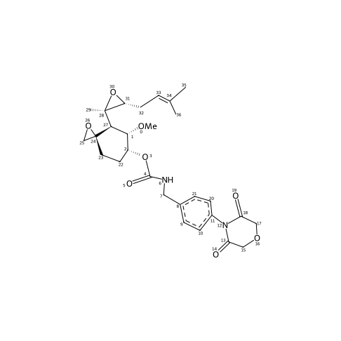 CO[C@@H]1[C@H](OC(=O)NCc2ccc(N3C(=O)COCC3=O)cc2)CC[C@]2(CO2)[C@H]1[C@@]1(C)O[C@@H]1CC=C(C)C